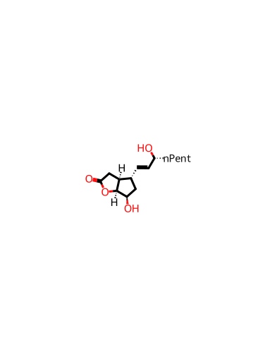 CCCCC[C@@H](O)/C=C/[C@@H]1C[C@@H](O)[C@H]2OC(=O)C[C@H]21